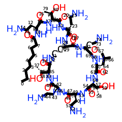 CCCCCCCCC(=O)N[C@@H](CCN)C(=O)N[C@H](C(=O)N[C@H](CCN)C(=O)N[C@H]1CCNC(=O)[C@H]([C@@H](C)O)NC(=O)[C@H](CCN)NC(=O)[C@H](CCN)NC(=O)[C@H]([C@@H](C)O)NC(=O)[C@@H](CC(C)C)NC(=O)[C@H](CCN)NC1=O)[C@@H](C)O